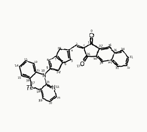 O=C1C(=CC2=CC3=C(C=C(N4c5ccccc5[Te]c5cccnc54)C3)C2)C(=O)c2cc3ccccc3cc21